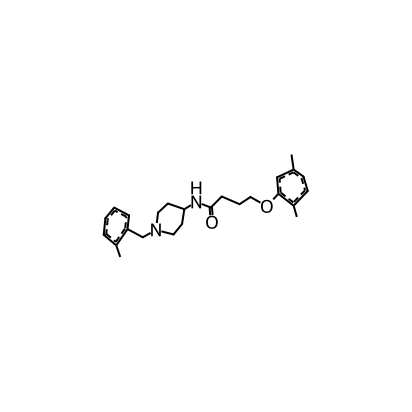 Cc1ccc(C)c(OCCCC(=O)NC2CCN(Cc3ccccc3C)CC2)c1